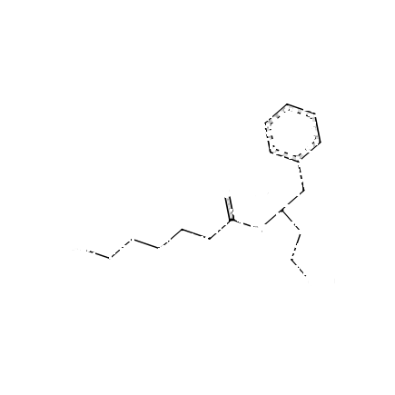 CCCCCCCCCCCCCCCC(=O)N[C@](CCC(=O)O)(Cc1ccccc1)C(=O)O